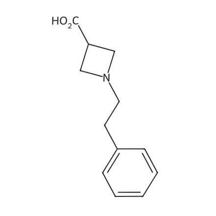 O=C(O)C1CN(CCc2ccccc2)C1